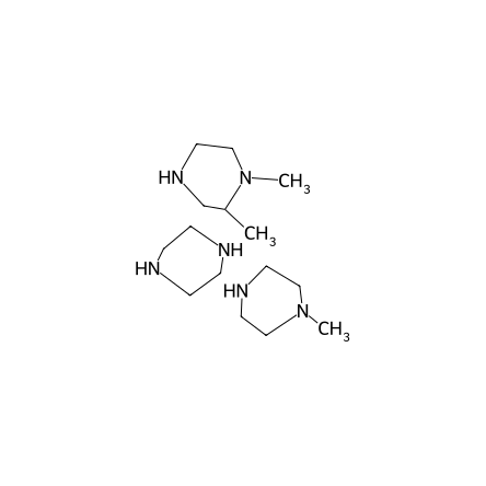 C1CNCCN1.CC1CNCCN1C.CN1CCNCC1